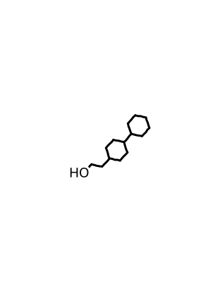 OCCC1CCC(C2CCCCC2)CC1